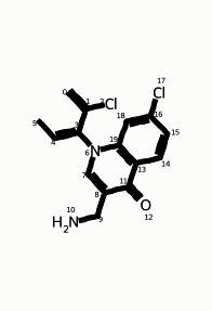 C=C(Cl)/C(=C\C)n1cc(CN)c(=O)c2ccc(Cl)cc21